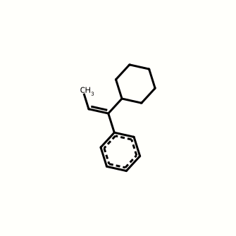 CC=C(c1ccccc1)C1CCCCC1